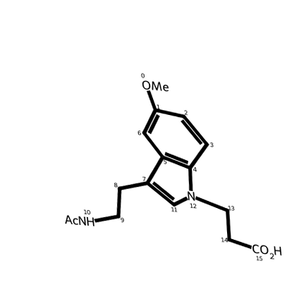 COc1ccc2c(c1)c(CCNC(C)=O)cn2CCC(=O)O